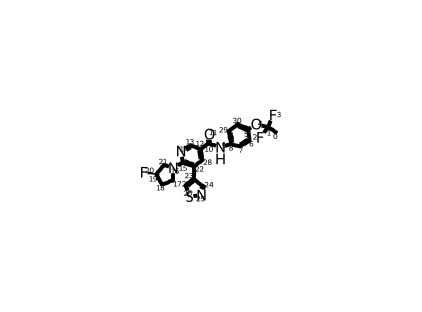 CC(F)(F)Oc1ccc(NC(=O)c2cnc(N3CC[C@@H](F)C3)c(-c3cnsc3)c2)cc1